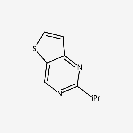 CC(C)c1ncc2sccc2n1